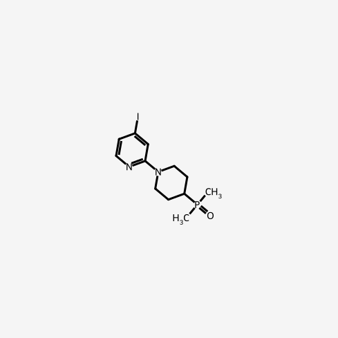 CP(C)(=O)C1CCN(c2cc(I)ccn2)CC1